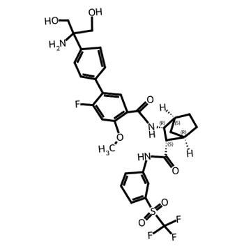 COc1cc(F)c(-c2ccc(C(N)(CO)CO)cc2)cc1C(=O)N[C@@H]1[C@H]2CC[C@H](C2)[C@@H]1C(=O)Nc1cccc(S(=O)(=O)C(F)(F)F)c1